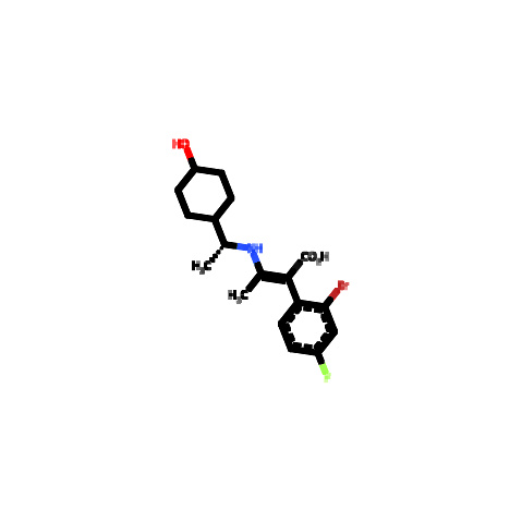 C/C(N[C@H](C)C1CCC(O)CC1)=C(/C(=O)O)c1ccc(F)cc1Br